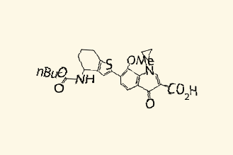 CCCCOC(=O)NC1CCCc2sc(-c3ccc4c(=O)c(C(=O)O)cn(C5CC5)c4c3OC)cc21